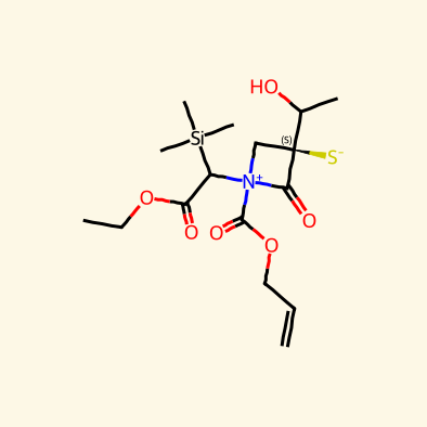 C=CCOC(=O)[N+]1(C(C(=O)OCC)[Si](C)(C)C)C[C@]([S-])(C(C)O)C1=O